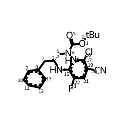 CC(C)(C)OC(=O)NC[C@@H](Cc1ccccc1)Nc1nc(Cl)c(C#N)cc1F